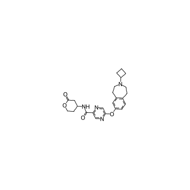 O=C1CC(NC(=O)c2cnc(Oc3ccc4c(c3)CCN(C3CCC3)CC4)cn2)CCO1